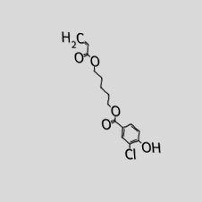 C=CC(=O)OCCCCCOC(=O)c1ccc(O)c(Cl)c1